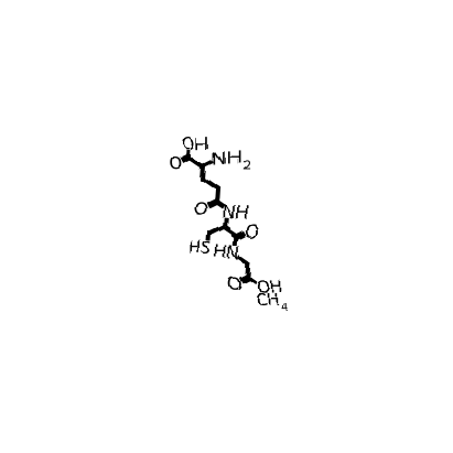 C.NC(CCC(=O)NC(CS)C(=O)NCC(=O)O)C(=O)O